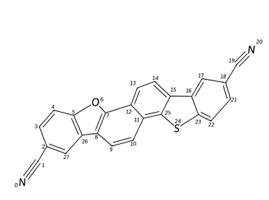 N#Cc1ccc2oc3c(ccc4c3ccc3c5cc(C#N)ccc5sc34)c2c1